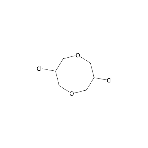 ClC1COCC(Cl)COC1